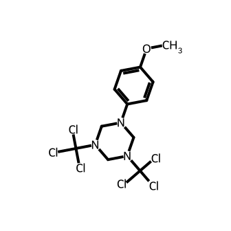 COc1ccc(N2CN(C(Cl)(Cl)Cl)CN(C(Cl)(Cl)Cl)C2)cc1